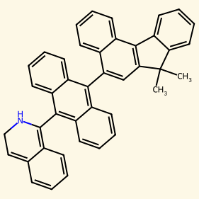 CC1(C)c2ccccc2-c2c1cc(-c1c3ccccc3c(C3=c4ccccc4=CCN3)c3ccccc13)c1ccccc21